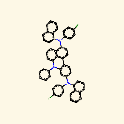 Fc1ccc(N(c2ccc3c(c2)N(c2ccccc2)c2cccc4c(N(c5ccc(F)cc5)c5cccc6ccccc56)ccc-3c24)c2cccc3ccccc23)cc1